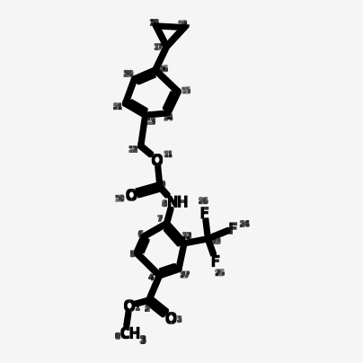 COC(=O)c1ccc(NC(=O)OCc2ccc(C3CC3)cc2)c(C(F)(F)F)c1